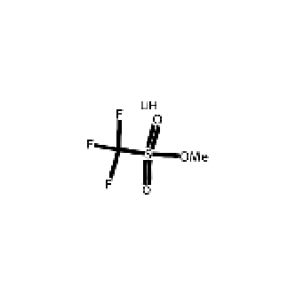 COS(=O)(=O)C(F)(F)F.[LiH]